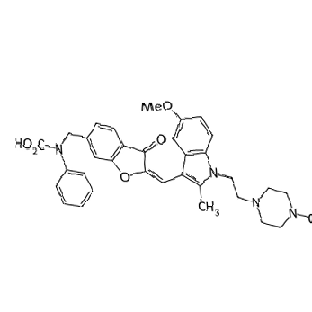 COc1ccc2c(c1)c(C=C1Oc3cc(CN(C(=O)O)c4ccccc4)ccc3C1=O)c(C)n2CCN1CCN(C)CC1